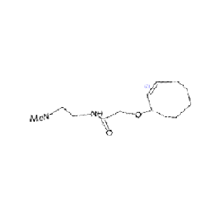 CNCCNC(=O)COC1/C=C\CCCCC1